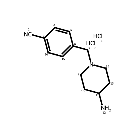 Cl.Cl.N#Cc1ccc(CN2CCC(N)CC2)cc1